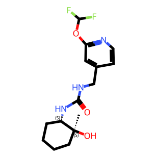 C[C@]1(O)CCCC[C@@H]1NC(=O)NCc1ccnc(OC(F)F)c1